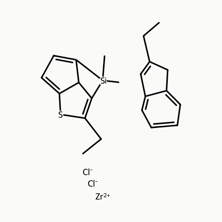 CCC1=C2C3C(=CC=C3[Si]2(C)C)S1.CCC1=Cc2ccccc2C1.[Cl-].[Cl-].[Zr+2]